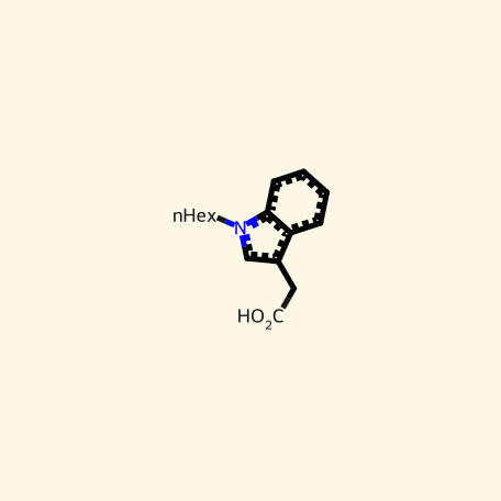 CCCCCCn1cc(CC(=O)O)c2ccccc21